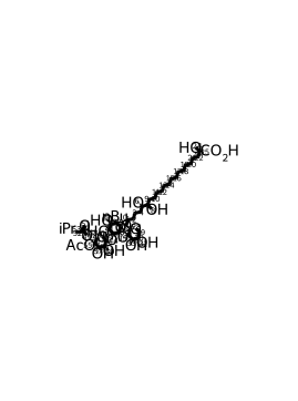 CCCC[C@@H](CCC[C@H](O)C(O)CCCCCCCCCCCCCC[C@@H](O)C(=O)O)O[C@H]1OC[C@H](O)[C@@H](O)[C@@H]1O[C@H]1OC[C@H](O)[C@@H](O)[C@@H]1O[C@H]1O[C@@H](COC(=O)CC(C)C)[C@H](OC(C)=O)[C@@H](O)[C@@H]1O